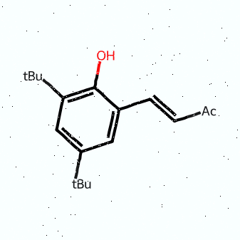 CC(=O)C=Cc1cc(C(C)(C)C)cc(C(C)(C)C)c1O